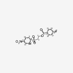 O=C(OCCS(=O)(=O)c1ccc([N+](=O)[O-])cn1)c1ccc(F)cc1